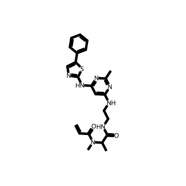 C=CC(=O)N(C)C(C)C(=O)NCCNc1cc(Nc2ncc(-c3ccccc3)s2)nc(C)n1